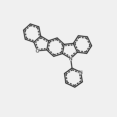 c1ccc(-n2c3ccccc3c3cc4c(cc32)oc2ccccc24)nc1